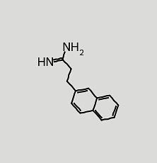 N=C(N)CCc1ccc2ccccc2c1